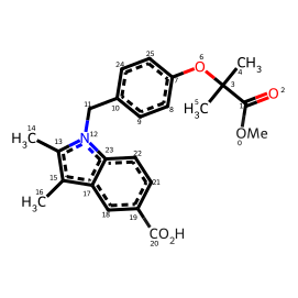 COC(=O)C(C)(C)Oc1ccc(Cn2c(C)c(C)c3cc(C(=O)O)ccc32)cc1